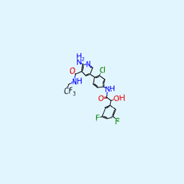 Nc1ncc(-c2ccc(NC(=O)C(O)c3cc(F)cc(F)c3)cc2Cl)cc1C(=O)NCC(F)(F)F